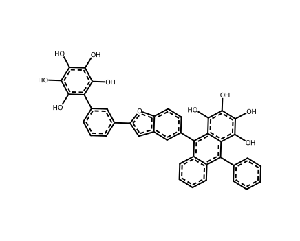 Oc1c(O)c(O)c(-c2cccc(-c3cc4cc(-c5c6ccccc6c(-c6ccccc6)c6c(O)c(O)c(O)c(O)c56)ccc4o3)c2)c(O)c1O